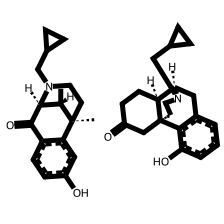 C[C@H]1[C@H]2C(=O)c3ccc(O)cc3[C@]1(C)CCN2CC1CC1.O=C1CC[C@H]2[C@H]3Cc4cccc(O)c4[C@@]2(CCN3CC2CC2)C1